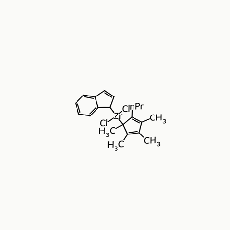 CCCC1=C(C)C(C)=C(C)[C]1(C)[Zr]([Cl])([Cl])[CH]1C=Cc2ccccc21